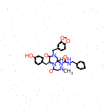 CN1CC(=O)N2[C@@H](Cc3ccc(O)cc3)C(=O)N(Cc3ccc4c(c3)OCO4)C[C@@H]2N1C(=O)NCc1ccccc1